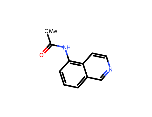 COC(=O)Nc1cccc2cnccc12